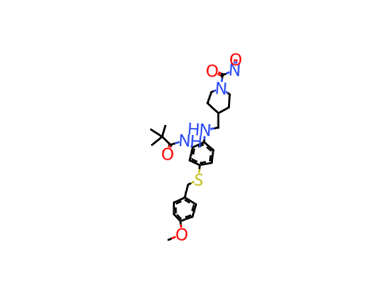 COc1ccc(CSc2ccc(NCC3CCN(C(=O)N=O)CC3)c(NC(=O)C(C)(C)C)c2)cc1